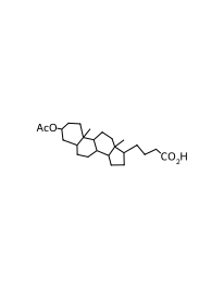 CC(=O)OC1CCC2(C)C(CCC3C4CCC(CCCC(=O)O)C4(C)CCC32)C1